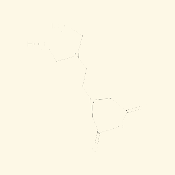 O=C(O)CN(CCN1CC(=O)OC(=O)C1)CC(=O)O